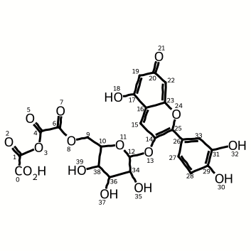 O=C(O)C(=O)OC(=O)C(=O)OCC1OC(Oc2cc3c(O)cc(=O)cc-3oc2-c2ccc(O)c(O)c2)C(O)C(O)C1O